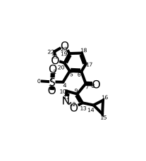 CS(=O)(=O)Cc1c(C(=O)c2cnoc2C2CC2)ccc2c1OCO2